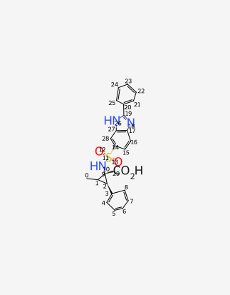 CC1[C@H](c2ccccc2)[C@]1(NS(=O)(=O)c1ccc2nc(-c3ccccc3)[nH]c2c1)C(=O)O